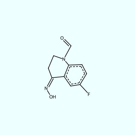 O=CN1CC/C(=N/O)c2cc(F)ccc21